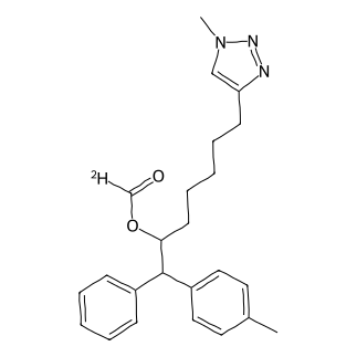 [2H]C(=O)OC(CCCCCc1cn(C)nn1)C(c1ccccc1)c1ccc(C)cc1